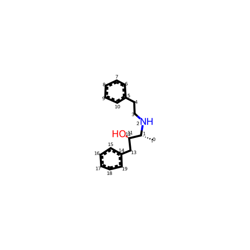 [CH2][C@@H](NCCc1ccccc1)[C@@H](O)Cc1ccccc1